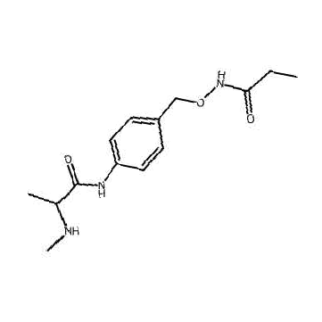 CCC(=O)NOCc1ccc(NC(=O)C(C)NC)cc1